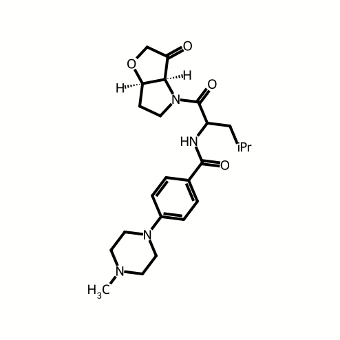 CC(C)CC(NC(=O)c1ccc(N2CCN(C)CC2)cc1)C(=O)N1CC[C@H]2OCC(=O)[C@H]21